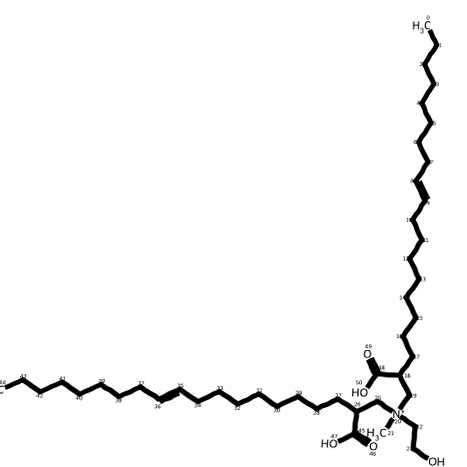 CCCCCCCCC=CCCCCCCCCC(C[N+](C)(CCO)CC(CCCCCCCCC=CCCCCCCCC)C(=O)O)C(=O)O